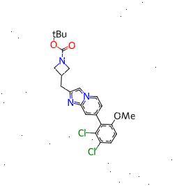 COc1ccc(Cl)c(Cl)c1-c1ccn2cc(CC3CN(C(=O)OC(C)(C)C)C3)nc2c1